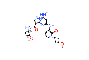 CNc1cc(Nc2cccn([C@H]3C[C@@H](OC)C3)c2=O)nc2c(C(=O)N[C@H]3CC[C@]3(C)OC)cnn12